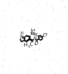 Br.CC(NC(=O)c1ccc(Cl)cc1F)c1ccc2c(c1)CCN2